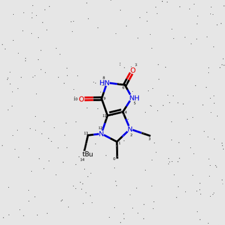 CC1N(C)c2[nH]c(=O)[nH]c(=O)c2N1CC(C)(C)C